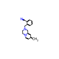 C=C1C=CN2CCN(Cc3ccccc3C#N)CC2=C1